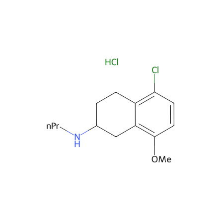 CCCNC1CCc2c(Cl)ccc(OC)c2C1.Cl